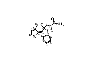 NC(=O)N(O)CC1(Cc2cccnc2)C=C2SCC=C2CC1